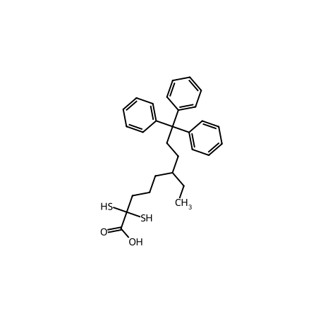 CCC(CCCC(S)(S)C(=O)O)CCC(c1ccccc1)(c1ccccc1)c1ccccc1